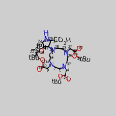 CC(C)(C)OC(=O)CN1CCN(CC(=O)OC(C)(C)C)CCN(C2C(O[Si](C)(C)C(C)(C)C)CNC2C(=O)O)CCN(CC(=O)OC(C)(C)C)CC1